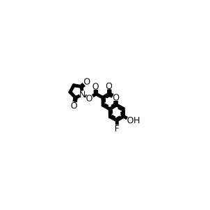 O=C(ON1C(=O)CCC1=O)c1cc2cc(F)c(O)cc2oc1=O